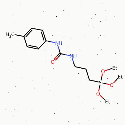 CCO[Si](CCCNC(=O)Nc1ccc(C)cc1)(OCC)OCC